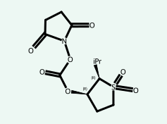 CC(C)[C@@H]1[C@H](OC(=O)ON2C(=O)CCC2=O)CCS1(=O)=O